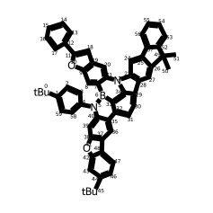 CC(C)(C)c1ccc(N2B3c4cc5oc(-c6ccccc6)cc5cc4-n4c5cc6c(cc5c5ccc(c3c54)-c3cc4c(cc32)oc2cc(C(C)(C)C)ccc24)C(C)(C)c2ccccc2-6)cc1